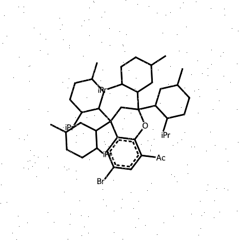 CC(=O)c1cc(Br)cc2c1OC(C1CC(C)CCC1C(C)C)(C1CC(C)CCC1C(C)C)CC2(C1CC(C)CCC1C(C)C)C1CC(C)CCC1C(C)C